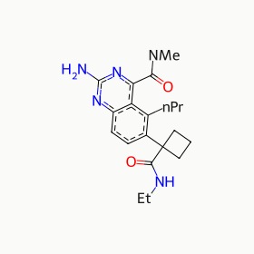 CCCc1c(C2(C(=O)NCC)CCC2)ccc2nc(N)nc(C(=O)NC)c12